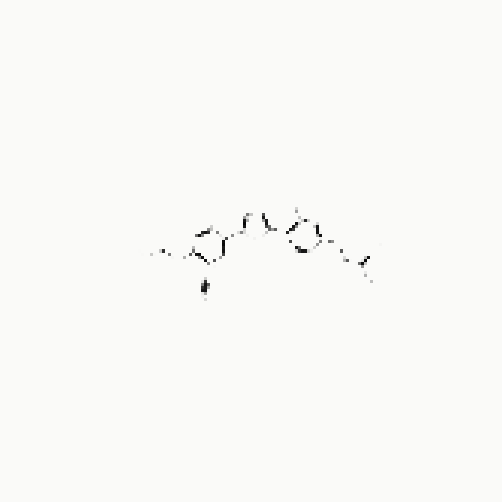 CCCOc1ccc(-c2ccc(-c3ccc(CCC(=O)O)cc3C)s2)cc1C#N